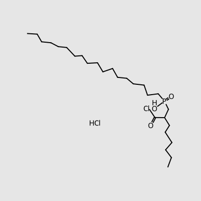 CCCCCCCCCCCCCCCCCCP(=O)(O)CC(CCCCCC)C(=O)Cl.Cl